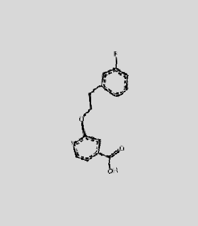 O=C(O)c1ccnc(OCCc2cccc(F)c2)c1